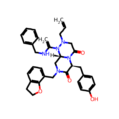 C=CCN1CC(=O)N2[C@@H](Cc3ccc(O)cc3)C(=O)N(Cc3cccc4c3OCC4)C[C@@H]2N1C(=C)NCc1ccccc1